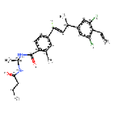 C=Cc1c(Cl)cc([C@@H](/C=C(\F)c2ccc(C(=O)N[C@H](C)NC(=O)CCC(F)(F)F)c(C(F)(F)F)c2)C(F)(F)F)cc1Cl